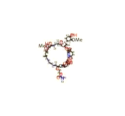 CO[C@@H]1C[C@H](C[C@@H](C)[C@@H]2CC(=O)[C@H](C)/C=C(\C)[C@@H](O)[C@@H](OC)C(=O)[C@H](C)C[C@H](C)/C=C/C=C/C=C(\C)[C@H](OCCOC(=O)N(C)C)C[C@@H]3CC[C@@H](C)[C@@](O)(O3)C(=O)C(=O)N3CCCC[C@H]3C(=O)O2)CC[C@H]1O